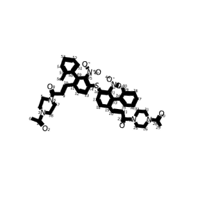 CC(=O)N1CCN(C(=O)/C=C/c2ccc(Sc3ccc(/C=C/C(=O)N4CCN(C(C)=O)CC4)c(-c4ccccc4C)c3[N+](=O)[O-])c([N+](=O)[O-])c2-c2ccccc2C)CC1